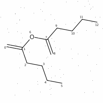 C=C(CCCC)OC(=C)CCCC